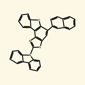 c1ccc2cc(-c3cc4sc(-n5c6ccccc6c6ccccc65)nc4c4c3oc3ccccc34)ccc2c1